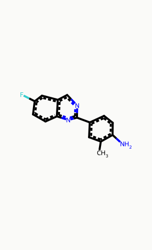 Cc1cc(-c2ncc3cc(F)ccc3n2)ccc1N